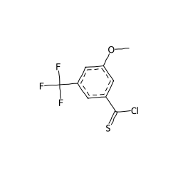 COc1cc(C(=S)Cl)cc(C(F)(F)F)c1